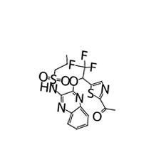 CCCS(=O)(=O)Nc1nc2ccccc2nc1OC(c1cnc(C(C)=O)s1)C(F)(F)F